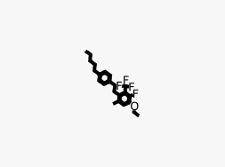 CCCCCc1ccc(CCc2c(C)cc(OCC)c(F)c2C(F)(F)F)cc1